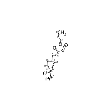 C=CCOC(=O)CC(=O)C=Cc1ccc(C(=O)OC(C)C)cc1